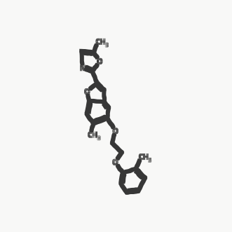 Cc1cnc(-c2cc3cc(OCCOc4ccccc4C)c(C)cc3o2)o1